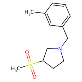 Cc1cccc(CN2CCC(S(C)(=O)=O)C2)c1